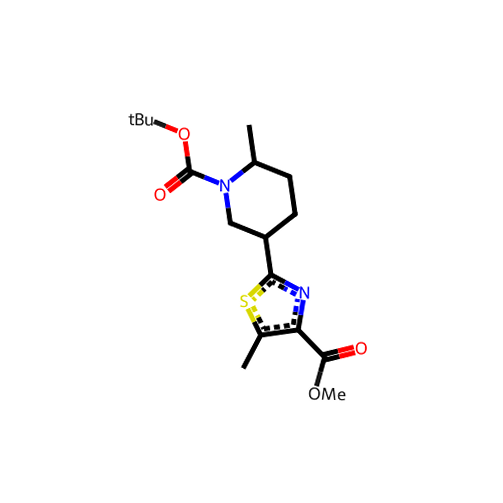 COC(=O)c1nc(C2CCC(C)N(C(=O)OC(C)(C)C)C2)sc1C